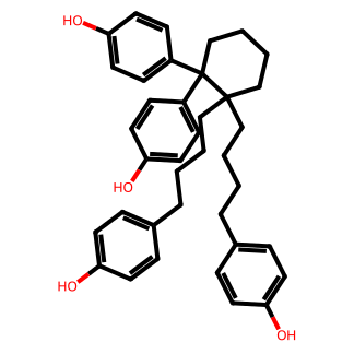 Oc1ccc(CCCCC2(CCCCc3ccc(O)cc3)CCCCC2(c2ccc(O)cc2)c2ccc(O)cc2)cc1